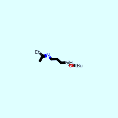 CCC(C)=NCCC[SiH2]OC(C)(C)C